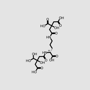 O=C(O)CC(O)(CC(=O)NCCC[C@@H](NC(=O)CC(O)(CC(=O)O)C(O)O)C(=O)O)C(=O)O